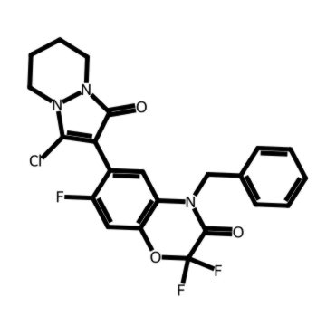 O=C1N(Cc2ccccc2)c2cc(-c3c(Cl)n4n(c3=O)CCCC4)c(F)cc2OC1(F)F